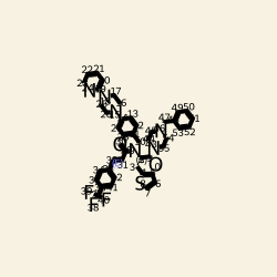 O=C([C@H](Cc1cccs1)N(Cc1ccc(N2CCN(c3ccccn3)CC2)cc1)C(=O)/C=C/c1ccc(C(F)(F)F)cc1)N1CCN(Cc2ccccc2)CC1